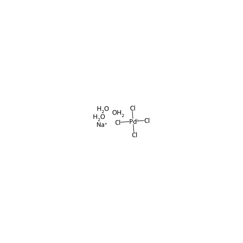 O.O.O.[Cl][Pd-]([Cl])([Cl])[Cl].[Na+]